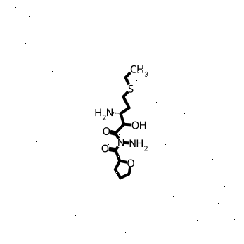 CCSCC[C@@H](N)C(O)C(=O)N(N)C(=O)C1CCCO1